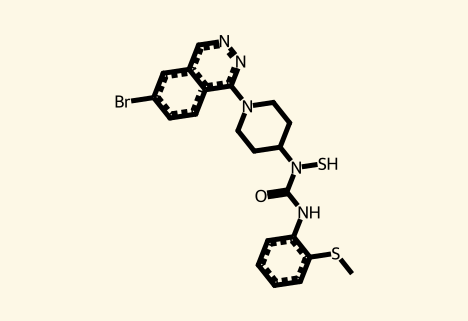 CSc1ccccc1NC(=O)N(S)C1CCN(c2nncc3cc(Br)ccc23)CC1